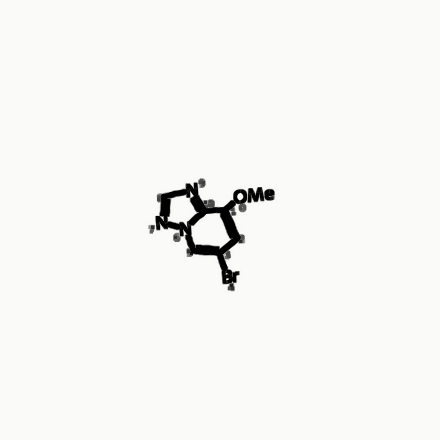 COc1cc(Br)cn2ncnc12